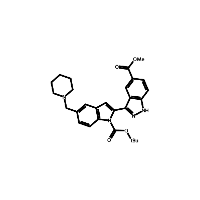 COC(=O)c1ccc2[nH]nc(-c3cc4cc(CN5CCCCC5)ccc4n3C(=O)OC(C)(C)C)c2c1